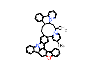 C=C1CC2C(CCc3cc4c(cc3-c3cc(C(C)(C)C)cc[n+]31)c1c3c(cc5c6ccccc6n4c51)oc1ccccc13)c1ccccc1-c1cccc[n+]12